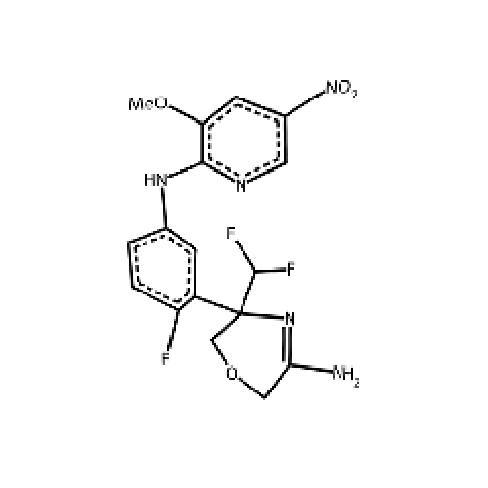 COc1cc([N+](=O)[O-])cnc1Nc1ccc(F)c(C2(C(F)F)COCC(N)=N2)c1